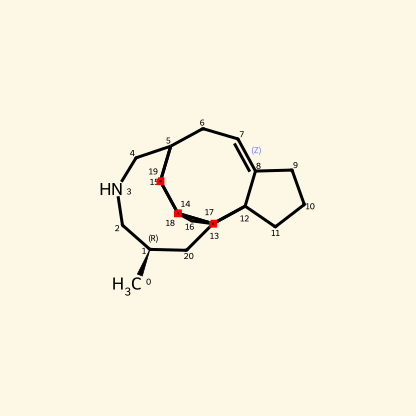 C[C@H]1CNCC23C/C=C4/CCCC45CC(C2)CC5(CC3)C1